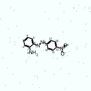 Nc1ccccc1N=Nc1ccc([N+](=O)[O-])cc1